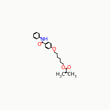 C=C(C)C(=O)OCCCCCCOc1ccc(C(=O)Nc2ccccc2)cc1